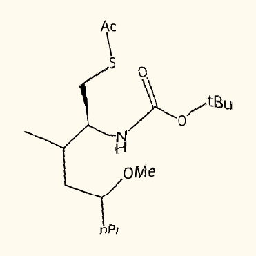 CCCC(CC(C)[C@@H](CSC(C)=O)NC(=O)OC(C)(C)C)OC